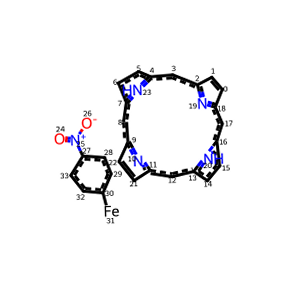 C1=Cc2cc3ccc(cc4nc(cc5ccc(cc1n2)[nH]5)C=C4)[nH]3.O=[N+]([O-])c1cc[c]([Fe])cc1